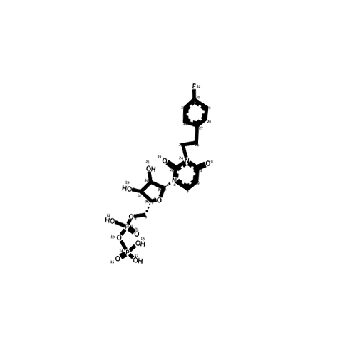 O=c1ccn([C@@H]2O[C@H](COP(=O)(O)OP(=O)(O)O)C(O)C2O)c(=O)n1CCc1ccc(F)cc1